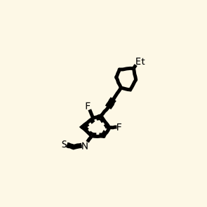 CCC1CCC(C#Cc2c(F)cc(N=C=S)cc2F)CC1